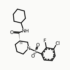 O=C(NC1CCCCC1)[C@H]1CCCN(S(=O)(=O)c2cccc(Cl)c2F)C1